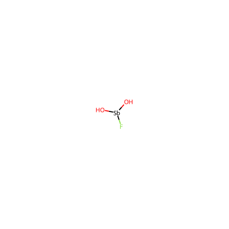 [OH][Sb]([OH])[F]